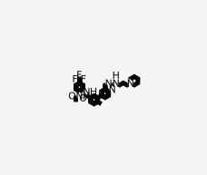 CC(=O)Nc1ccc(C(F)(F)F)cc1NC(=O)c1ccc(C)c(-c2ccc3nc(NCCCN4CCCCC4)ncc3c2)c1